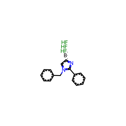 F.F.F.[B].c1ccc(Cn2ccnc2-c2ccccc2)cc1